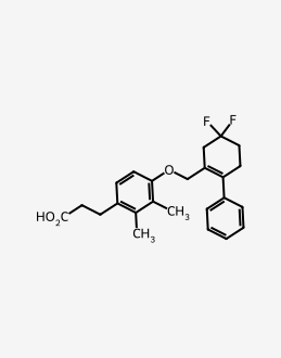 Cc1c(CCC(=O)O)ccc(OCC2=C(c3ccccc3)CCC(F)(F)C2)c1C